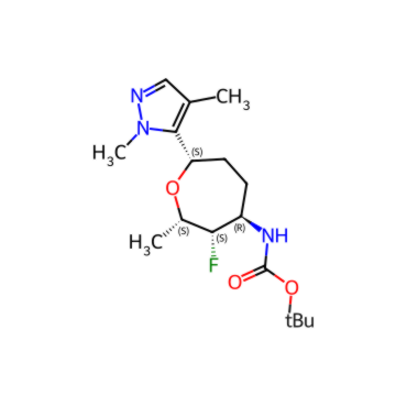 Cc1cnn(C)c1[C@@H]1CC[C@@H](NC(=O)OC(C)(C)C)[C@H](F)[C@H](C)O1